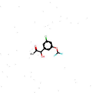 CC(C)(C)C(=O)C(O)c1cc(Cl)cc(OC(F)F)c1